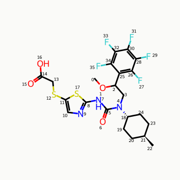 COC(CN(C(=O)Nc1ncc(SCC(=O)O)s1)[C@H]1CC[C@H](C)CC1)c1c(F)c(F)c(F)c(F)c1F